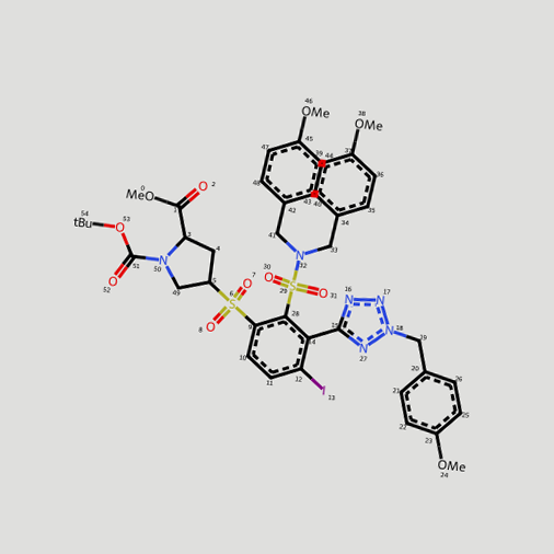 COC(=O)C1CC(S(=O)(=O)c2ccc(I)c(-c3nnn(Cc4ccc(OC)cc4)n3)c2S(=O)(=O)N(Cc2ccc(OC)cc2)Cc2ccc(OC)cc2)CN1C(=O)OC(C)(C)C